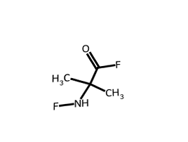 CC(C)(NF)C(=O)F